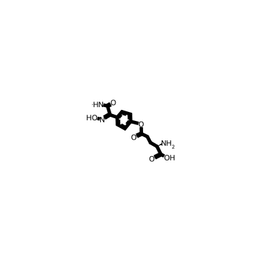 [NH]C(=O)C(=NO)c1ccc(OC(=O)CC[C@H](N)C(=O)O)cc1